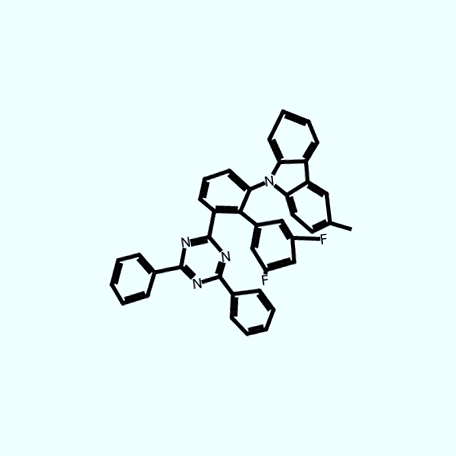 Cc1ccc2c(c1)c1ccccc1n2-c1cccc(-c2nc(-c3ccccc3)nc(-c3ccccc3)n2)c1-c1cc(F)cc(F)c1